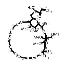 C=CC(=O)N(C)CC1OC2C(CC)OC3C(COC)OC(C(OC)C3OC)C(C)(C)CCCCCCCCCCCCCCCOC1C(OC)C2OC